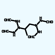 CC(CN(NC=O)NC=O)N(NC=O)NC=O